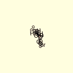 CC1(C[C@H](NC(=O)OC(C)(C)C)C(=O)NNC(=O)OCC2c3ccccc3-c3ccccc32)C=CC(OC(=O)OCc2ccccc2Br)=CC1